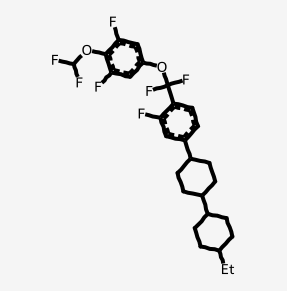 CCC1CCC(C2CCC(c3ccc(C(F)(F)Oc4cc(F)c(OC(F)F)c(F)c4)c(F)c3)CC2)CC1